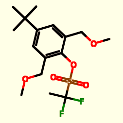 COCc1cc(C(C)(C)C)cc(COC)c1OS(=O)(=O)C(C)(F)F